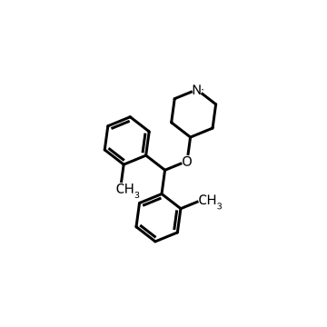 Cc1ccccc1C(OC1CC[N]CC1)c1ccccc1C